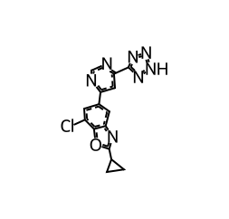 Clc1cc(-c2cc(-c3nn[nH]n3)ncn2)cc2nc(C3CC3)oc12